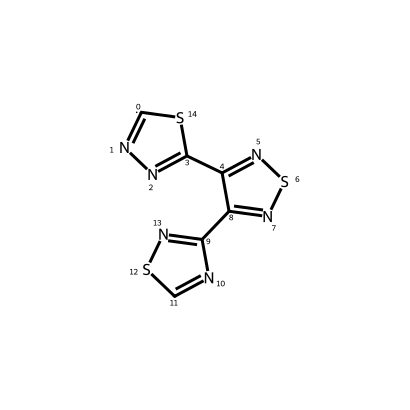 [c]1nnc(-c2nsnc2-c2ncsn2)s1